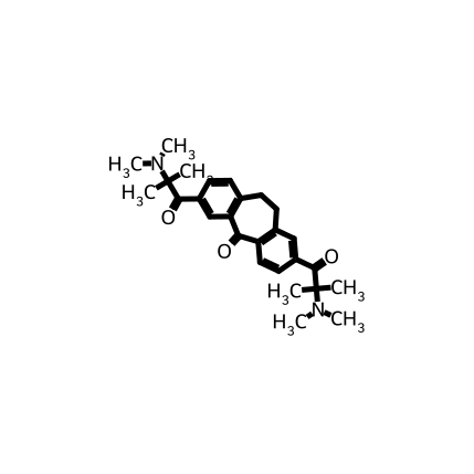 CN(C)C(C)(C)C(=O)c1ccc2c(c1)CCc1ccc(C(=O)C(C)(C)N(C)C)cc1C2=O